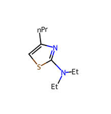 CCCc1csc(N(CC)CC)n1